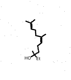 [CH2]CC(C)(O)CCC=C(C)CCC=C(C)C